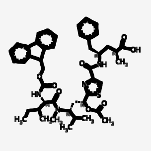 CCC(C)[C@H](NC(=O)OCC1c2ccccc2-c2ccccc21)C(=O)N(C)[C@H](C[C@@H](OC(C)=O)c1nc(C(=O)N[C@@H](Cc2ccccc2)C[C@H](C)C(=O)O)cs1)C(C)C